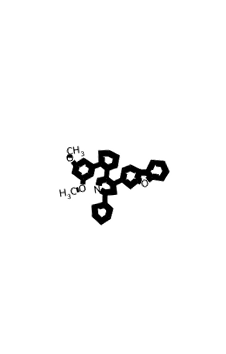 COc1cc(OC)cc(-c2ccccc2-c2cnc(-c3ccccc3)cc2-c2ccc3c(c2)oc2ccccc23)c1